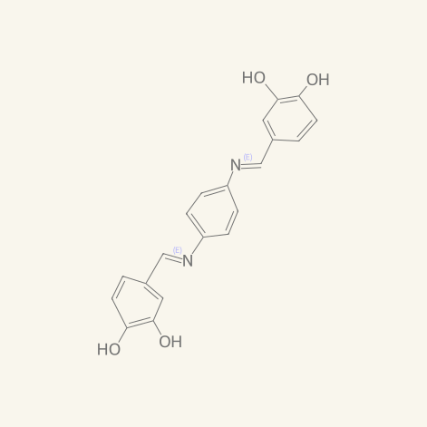 Oc1ccc(/C=N/c2ccc(/N=C/c3ccc(O)c(O)c3)cc2)cc1O